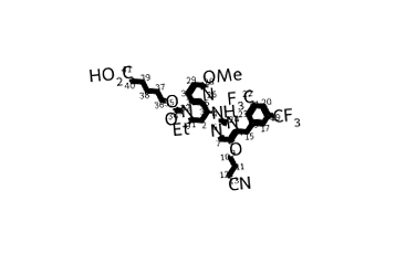 CC[C@@H]1C[C@H](Nc2ncc(OCCCC#N)c(Cc3cc(C(F)(F)F)cc(C(F)(F)F)c3)n2)c2nc(OC)ccc2N1C(=O)OCCCCCC(=O)O